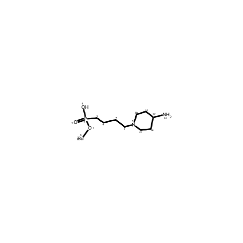 CCC(C)OP(=O)(O)CCCCN1CCC(N)CC1